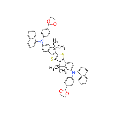 C[Si]1(C)c2cc(N(c3ccc(C4OCCO4)cc3)c3cccc4ccccc34)ccc2-c2sc3c4c(sc3c21)-c1ccc(N(c2ccc(C3OCCO3)cc2)c2cccc3ccccc23)cc1[Si]4(C)C